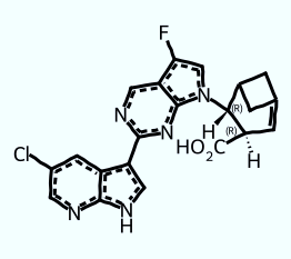 O=C(O)[C@@H]1C=C2CC(C2)[C@H]1n1cc(F)c2cnc(-c3c[nH]c4ncc(Cl)cc34)nc21